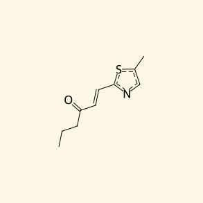 CCCC(=O)/C=C/c1ncc(C)s1